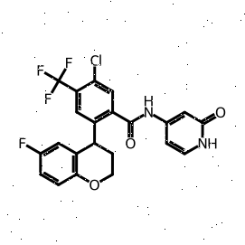 O=C(Nc1cc[nH]c(=O)c1)c1cc(Cl)c(C(F)(F)F)cc1C1CCOc2ccc(F)cc21